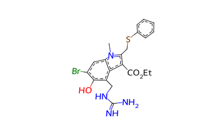 CCOC(=O)c1c(CSc2ccccc2)n(C)c2cc(Br)c(O)c(CNC(=N)N)c12